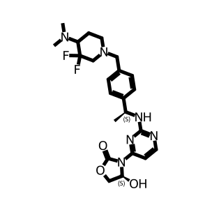 C[C@H](Nc1nccc(N2C(=O)OC[C@@H]2O)n1)c1ccc(CN2CCC(N(C)C)C(F)(F)C2)cc1